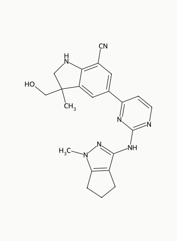 Cn1nc(Nc2nccc(-c3cc(C#N)c4c(c3)C(C)(CO)CN4)n2)c2c1CCC2